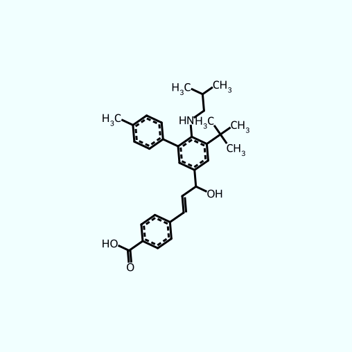 Cc1ccc(-c2cc(C(O)/C=C/c3ccc(C(=O)O)cc3)cc(C(C)(C)C)c2NCC(C)C)cc1